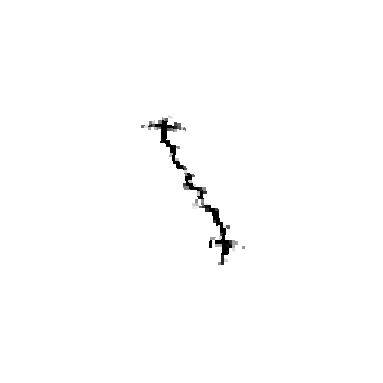 FC(F)(F)CCCOCCOCCCC(F)(F)F